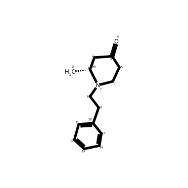 C[C@@H]1CC(=O)CCN1CCc1ccccc1